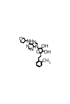 Cc1ccccc1CC[C@H]1O[C@@H](n2cnc3c(NC4CCOC4)ncnc32)[C@H](O)[C@@H]1O